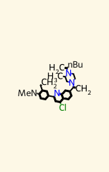 C=Cc1cc(-c2cc(Cl)c3ccc(C(=C)N4CCN(C(=C)CCCC)C(C)C4)cc3n2)ccc1NC